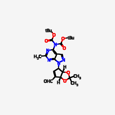 Cc1nc(N(C(=O)OC(C)(C)C)C(=O)OC(C)(C)C)c2cnn([C@@H]3C=C(C=O)[C@H]4OC(C)(C)O[C@H]43)c2n1